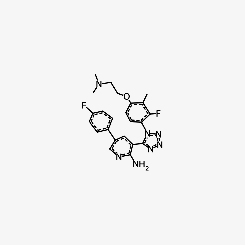 Cc1c(OCCN(C)C)ccc(-n2nnnc2-c2cc(-c3ccc(F)cc3)cnc2N)c1F